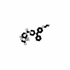 O=C1CO[C@H]2CCN(C(=O)N3CCC([C@@H](c4ccccc4)c4ccc(OCCF)cc4)CC3)C[C@H]2N1